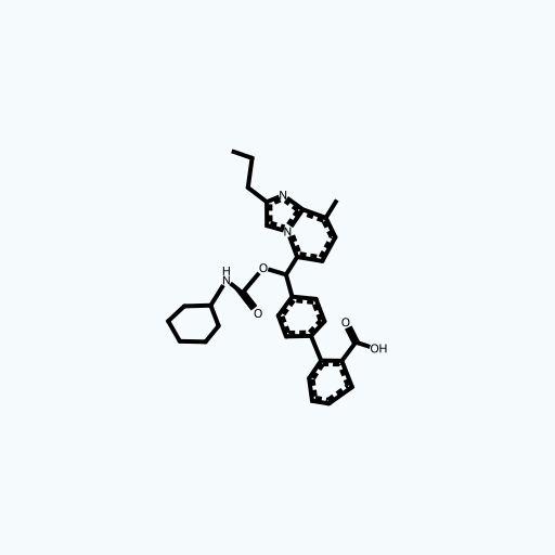 CCCc1cn2c(C(OC(=O)NC3CCCCC3)c3ccc(-c4ccccc4C(=O)O)cc3)ccc(C)c2n1